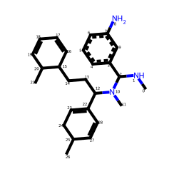 CNC(c1cccc(N)c1)N(C)C(CCC1C=CC=CC1C)C1=CCC(C)C=C1